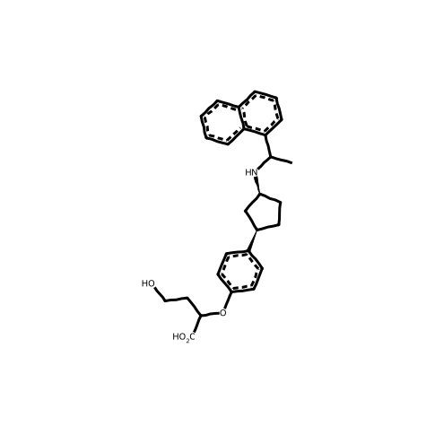 CC(N[C@H]1CC[C@@H](c2ccc(OC(CCO)C(=O)O)cc2)C1)c1cccc2ccccc12